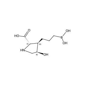 O=C(O)[C@H]1NC[C@H](O)[C@@H]1CCCB(O)O